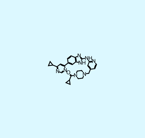 O=C(C1CC1)N1CCN(Cc2ccnc(Nc3nc4ccc(-c5cc(C6CC6)ncn5)cc4[nH]3)c2)CC1